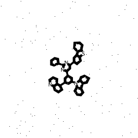 c1ccc(-c2nc(-c3cc(-c4cccc5ncccc45)cc(-n4c5ccccc5c5ccccc54)c3)cc(-c3ccc4sc5ccccc5c4c3)n2)cc1